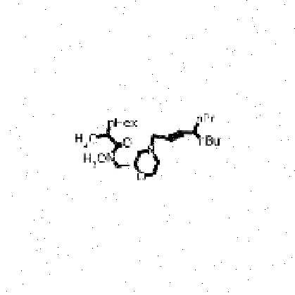 CCCCCCC(C)C(=O)N(C)C[C@H]1CN(CC#CC(CCC)CCCC)CCO1